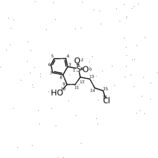 O=S1(=O)c2ccccc2C(O)CC1CCCCl